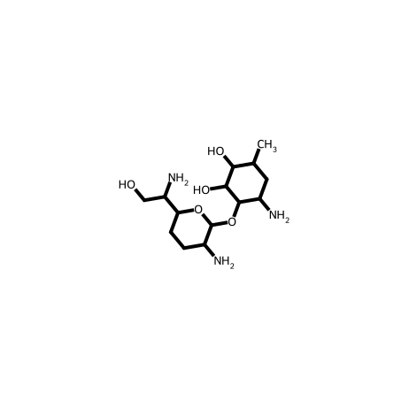 CC1CC(N)C(OC2OC(C(N)CO)CCC2N)C(O)C1O